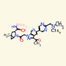 BNC(=O)[C@@H]1C[C@@]2(C)CC2N1C(=O)Cn1nc(C(C)=O)c2cc(-c3cnc(CN(C)C)nc3)ncc21